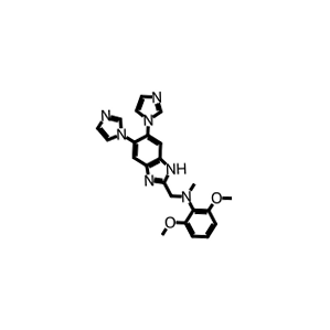 COc1cccc(OC)c1N(C)Cc1nc2cc(-n3ccnc3)c(-n3ccnc3)cc2[nH]1